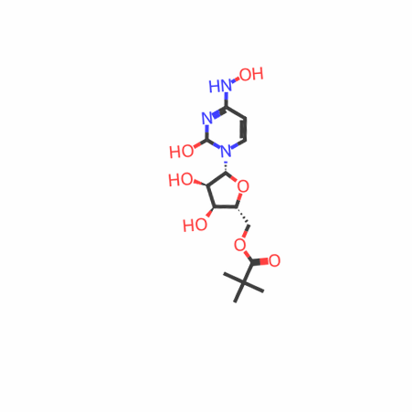 CC(C)(C)C(=O)OC[C@H]1O[C@@H](N2C=CC(NO)=NC2O)[C@H](O)[C@@H]1O